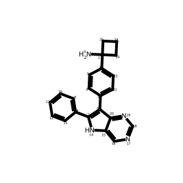 NC1(c2ccc(-c3c(-c4ccccc4)[nH]c4cncnc34)cc2)CCC1